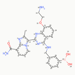 Cc1nc2c(C(N)=O)cccn2c1-c1nc(NCc2cccc(B(O)O)c2)c2cccc(OCCN)c2n1